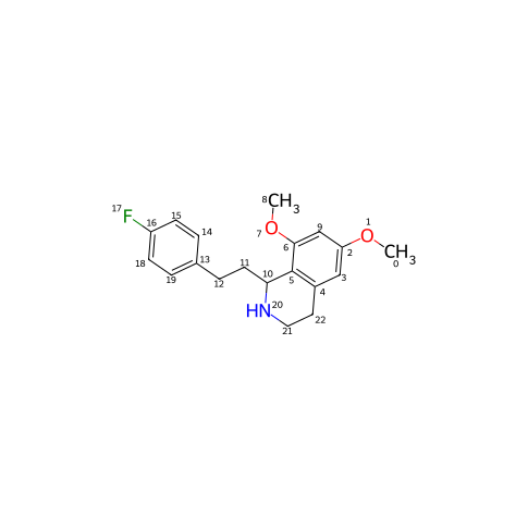 COc1cc2c(c(OC)c1)C(CCc1ccc(F)cc1)NCC2